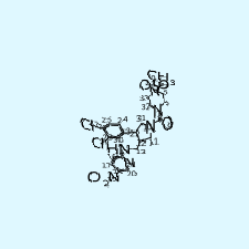 CS(=O)(=O)N1CCN(C(=O)N2CC(CNc3ccc([N+](=O)[O-])cn3)C(c3ccc(Cl)c(Cl)c3)C2)CC1